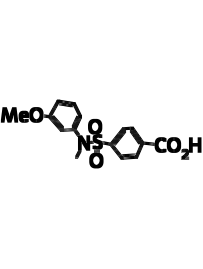 COc1cccc(N(C)S(=O)(=O)c2ccc(C(=O)O)cc2)c1